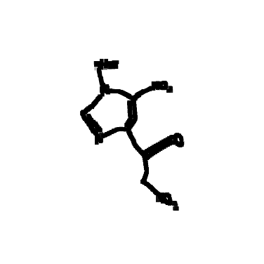 CCCCCCn1cnc(C(=O)C[N+](=O)[O-])c1[N+](=O)[O-]